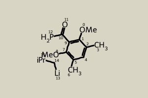 COc1c(C)cc(C)c(OC)c1C(=O)P.[Li][CH2]C(C)C